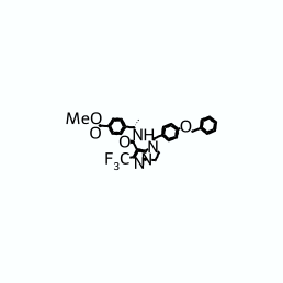 COC(=O)c1ccc([C@H](C)NC(=O)c2c(C(F)(F)F)nn3c2N(Cc2ccc(OCc4ccccc4)cc2)CC3)cc1